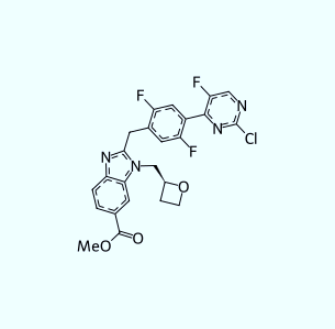 COC(=O)c1ccc2nc(Cc3cc(F)c(-c4nc(Cl)ncc4F)cc3F)n(C[C@@H]3CCO3)c2c1